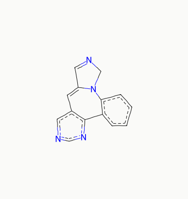 C1=NCN2C1=Cc1cncnc1-c1ccccc12